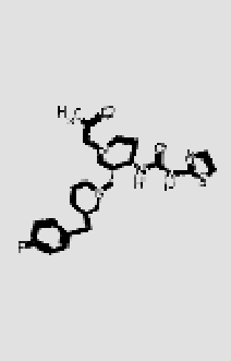 CC(=O)CN1CC[C@@H](NC(=O)Nc2nccs2)[C@H](CN2CCCC(Cc3ccc(F)cc3)C2)C1